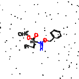 CC(C)C[C@H](NOCc1ccccc1)C(=O)OC=O